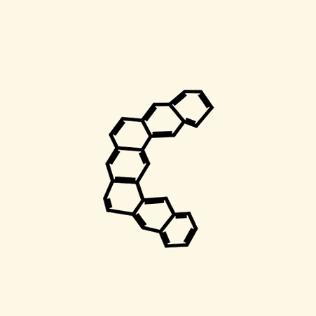 c1ccc2cc3c(ccc4cc5ccc6cc7ccccc7cc6c5cc43)cc2c1